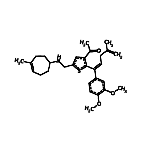 C=C(C)C/C=C(/c1ccc(OC)c(OC)c1)c1sc(CNC2CCC=C(C)CC2)cc1C(C)=O